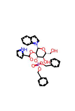 O=C(O[C@@H]1[C@@H](OP(=O)(OCc2ccccc2)OCc2ccccc2)[C@H](O)[C@@H](CO)O[C@H]1n1ccc2ccccc21)c1ccc[nH]1